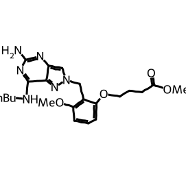 CCCCNc1nc(N)nc2cn(Cc3c(OC)cccc3OCCCC(=O)OC)nc12